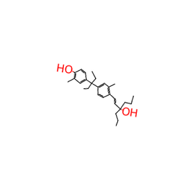 CCCC(O)(/C=C/c1ccc(C(CC)(CC)c2ccc(O)c(C)c2)cc1C)CCC